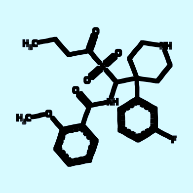 CCCC(=O)S(=O)(=O)C(NC(=O)c1ccccc1OC)C1(c2cccc(F)c2)CCNCC1